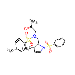 CCOC(=O)c1ccn(S(=O)(=O)c2ccccc2)c1CN(CC(=O)OC)S(=O)(=O)c1ccc(C)cc1